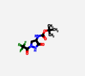 CC(C)(C)OC(=O)NC1CN(C(=O)C(F)(F)F)NC1=O